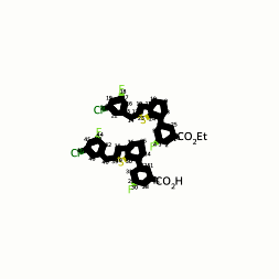 CCOC(=O)c1cc(F)cc(-c2cccc3cc(Cc4cc(F)cc(Cl)c4)sc23)c1.O=C(O)c1cc(F)cc(-c2cccc3cc(Cc4cc(F)cc(Cl)c4)sc23)c1